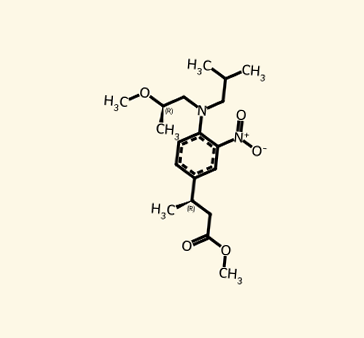 COC(=O)C[C@@H](C)c1ccc(N(CC(C)C)C[C@@H](C)OC)c([N+](=O)[O-])c1